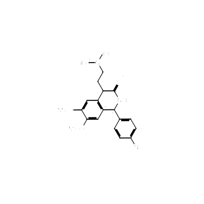 COc1cc2c(cc1OC)C(c1ccc(N)cc1)NC(=O)C2CCN(C(C)C)C(C)C